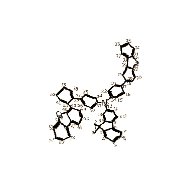 CC1(C)c2ccccc2-c2ccc(N(c3ccc(-c4ccc5sc6ccccc6c5c4)cc3)c3ccc(-c4ccccc4-c4cccc5c4oc4ccccc45)cc3)cc21